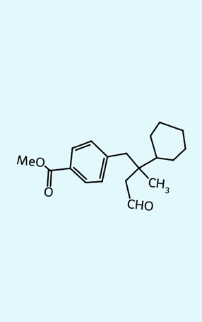 COC(=O)c1ccc(CC(C)(CC=O)C2CCCCC2)cc1